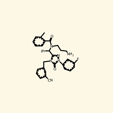 Cc1ccccc1C(=O)N(CCCN)C(c1nn(-c2cccc(F)c2)c(=O)n1Cc1cccc(C#N)c1)C(C)C